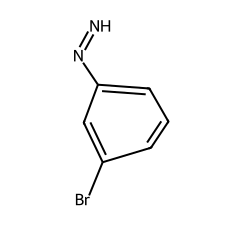 N=Nc1cccc(Br)c1